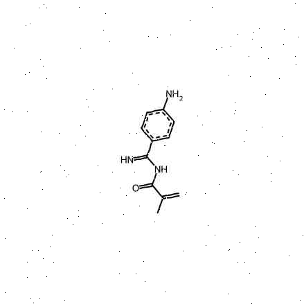 C=C(C)C(=O)NC(=N)c1ccc(N)cc1